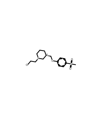 CS(=O)(=O)c1ccc(OC[C@@H]2CCCN(CCCl)C2)cc1